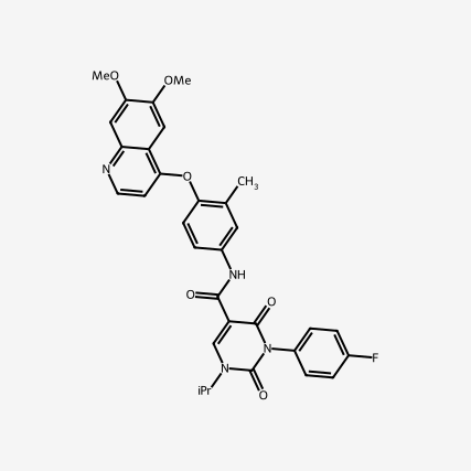 COc1cc2nccc(Oc3ccc(NC(=O)c4cn(C(C)C)c(=O)n(-c5ccc(F)cc5)c4=O)cc3C)c2cc1OC